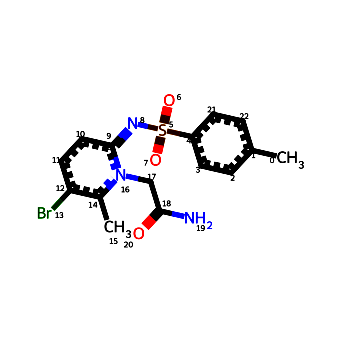 Cc1ccc(S(=O)(=O)N=c2ccc(Br)c(C)n2CC(N)=O)cc1